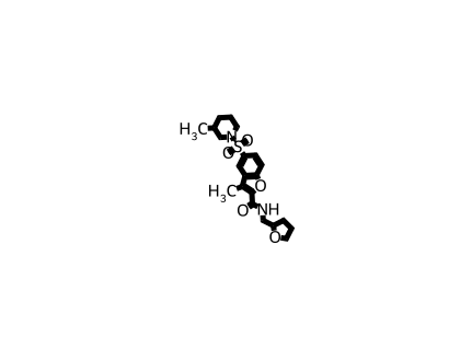 Cc1c(C(=O)NCC2CCCO2)oc2ccc(S(=O)(=O)N3CCCC(C)C3)cc12